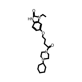 CCn1c(=O)[nH]c2ccc(OCCCC(=O)N3CCN(C4CCCCC4)CC3)cc21